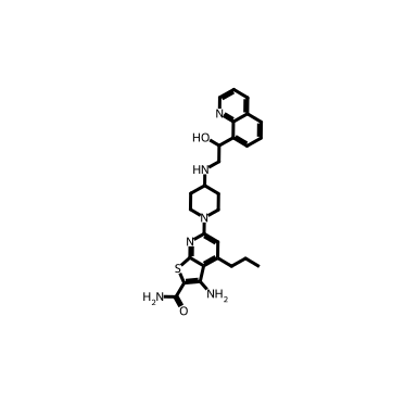 CCCc1cc(N2CCC(NCC(O)c3cccc4cccnc34)CC2)nc2sc(C(N)=O)c(N)c12